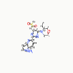 CC[C@H]1COCCN1c1cc(CS(C)(=O)=O)nc(-c2ccc3[nH][c]cc3n2)n1